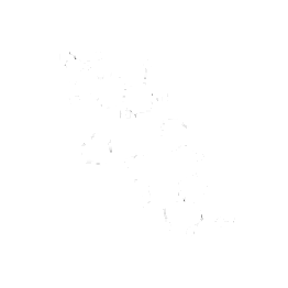 CC(CSC(=O)c1ccccc1)C(=O)N1CC(Oc2ccc(C3NC(=O)c4cc(S(N)(=O)=O)c(Cl)cc4N3)cc2)C[C@H]1C(=O)O